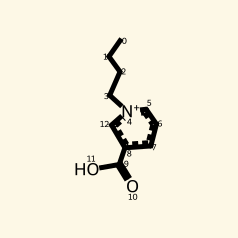 CCCC[n+]1cccc(C(=O)O)c1